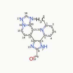 Cc1cccc(-c2[nH]c(C=O)nc2-c2ccn3ncnc3c2)n1